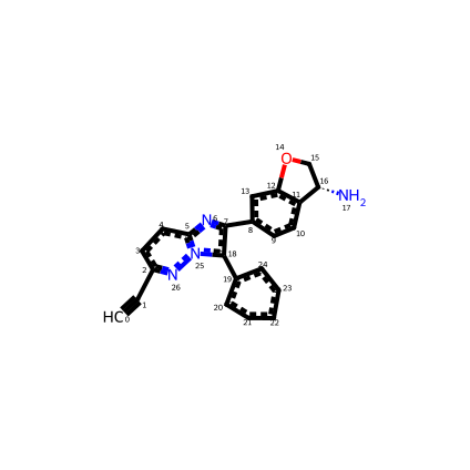 C#Cc1ccc2nc(-c3ccc4c(c3)OC[C@@H]4N)c(-c3ccccc3)n2n1